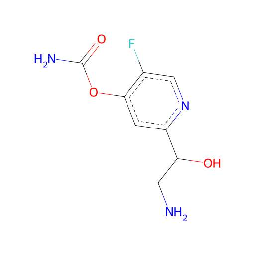 NCC(O)c1cc(OC(N)=O)c(F)cn1